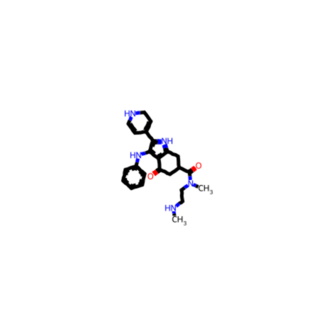 CNCCN(C)C(=O)C1CC(=O)c2c([nH]c(C3=CCNC=C3)c2Nc2ccccc2)C1